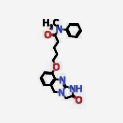 CN(C(=O)CCCCOc1cccc2c1N=C1NC(=O)CN1C2)c1ccccc1